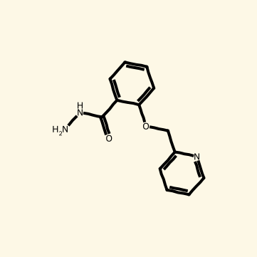 NNC(=O)c1ccccc1OCc1ccccn1